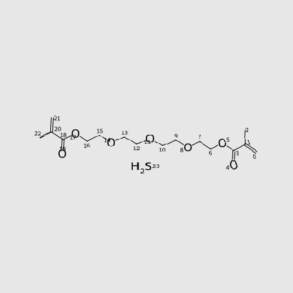 C=C(C)C(=O)OCCOCCOCCOCCOC(=O)C(=C)C.S